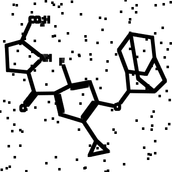 O=C(O)C1CCC(C(=O)c2cc(C3CC3)c(OC3C4CC5CC(C4)CC3C5)cc2F)N1